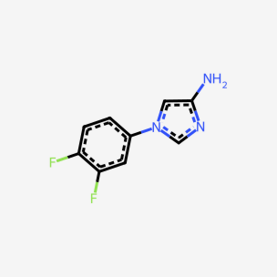 Nc1cn(-c2ccc(F)c(F)c2)cn1